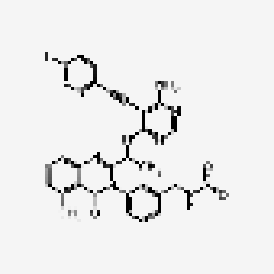 Cc1cccc2nc(C(C)Nc3ncnc(N)c3C#Cc3ccc(F)cn3)n(-c3cccc(CN[SH](=O)=O)c3)c(=O)c12